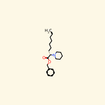 C=CCCCCC[C@@H](C(=O)OCc1ccccc1)N1CCCCC1